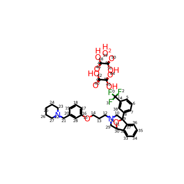 FC(F)(F)c1cccc(C23CN(CCCOc4cccc(CN5CCCCC5)c4)CC(O2)c2ccccc23)c1.O.O=C(O)C(=O)O.O=C(O)C(=O)O